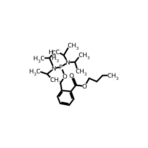 CCCCOC(=O)c1ccccc1COP(N(C(C)C)C(C)C)N(C(C)C)C(C)C